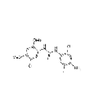 COc1cc(OC)c(NC(=S)Nc2cc(C)c(N)cc2Cl)cc1Cl